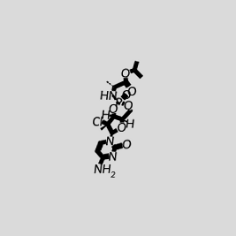 CC(C)OC(=O)[C@@H](C)N[P@@]1(=O)OC[C@H]2O[C@@H](n3ccc(N)nc3=O)[C@](C)(Cl)[C@@H]2O1